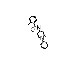 Cc1ccccc1C(=O)N=c1ccn(-c2ccccc2)nc1